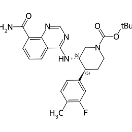 Cc1ccc([C@@H]2CCN(C(=O)OC(C)(C)C)C[C@H]2Nc2ncnc3c(C(N)=O)cccc23)cc1F